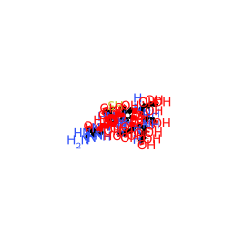 Nc1nc2ncc(CNc3ccc(C(=O)N[C@@H](CCC(=O)N[C@H](C(=O)N[C@@H](CC(=O)O)C(=O)N[C@H](C(=O)N[C@H](C(=O)N[C@@H](CC(=O)O)C(=O)N[C@H](C(=O)N[C@H](CS)C(=O)O)[C@H](O)[C@@H](O)[C@@H](O)CO)[C@H](O)[C@@H](O)[C@@H](O)CO)[C@@H](O)[C@H](O)[C@H](O)CO)[C@@H](O)[C@H](O)[C@H](O)CO)C(=O)O)cc3)nc2c(=O)[nH]1